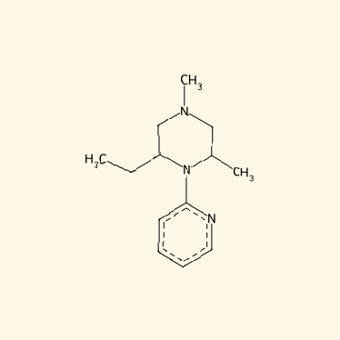 CCC1CN(C)CC(C)N1c1ccccn1